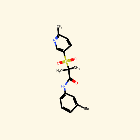 CC(C)(C)c1cccc(NC(=O)C(C)(C)S(=O)(=O)c2ccc(C(F)(F)F)nc2)c1